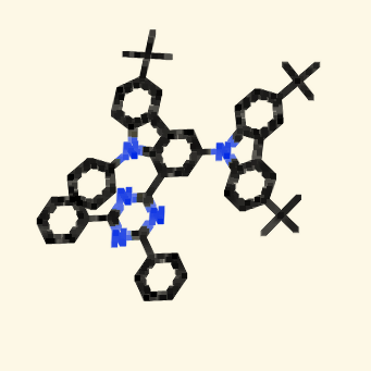 CC(C)(C)c1ccc2c(c1)c1cc(C(C)(C)C)ccc1n2-c1cc(-c2nc(-c3ccccc3)nc(-c3ccccc3)n2)c2c(c1)c1cc(C(C)(C)C)ccc1n2-c1ccccc1